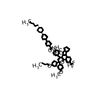 CCCCC[C@H]1CC[C@H](c2ccc(-c3ccc(C(=O)Nc4ccc(C5=CC(c6ccc(OC)cc6)(c6ccc(OCCCC)cc6)Oc6c5c5c(c7ccc(C(F)(F)F)cc67)-c6ccccc6C5(C)C)cc4)cc3)cc2)CC1